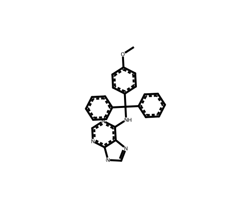 COc1ccc(C(Nc2ncnc3c2N=C[N]3)(c2ccccc2)c2ccccc2)cc1